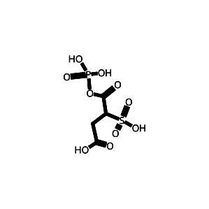 O=C(O)CC(C(=O)OP(=O)(O)O)S(=O)(=O)O